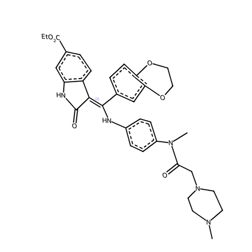 CCOC(=O)c1ccc2c(c1)NC(=O)/C2=C(\Nc1ccc(N(C)C(=O)CN2CCN(C)CC2)cc1)c1ccc2c(c1)OCCO2